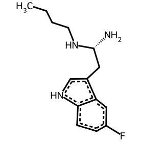 CCCCN[C@H](N)Cc1c[nH]c2ccc(F)cc12